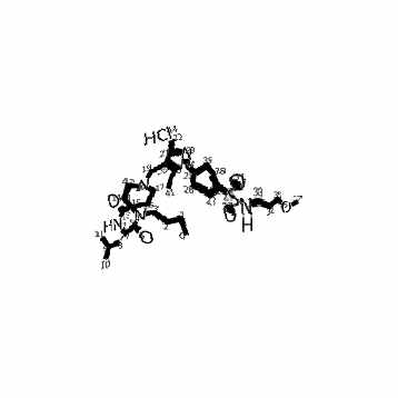 CCCCN1C(=O)[C@H](CC(C)C)NC(=O)C12CCN(Cc1c(C)nn(-c3ccc(S(=O)(=O)NCCCOC)cc3)c1C)CC2.Cl